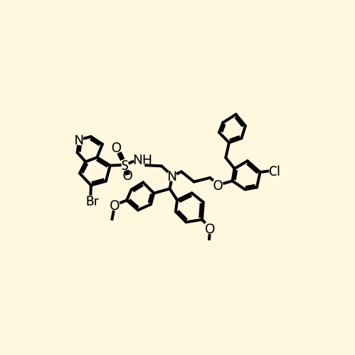 COc1ccc(C(c2ccc(OC)cc2)N(CCCOc2ccc(Cl)cc2Cc2ccccc2)CCNS(=O)(=O)c2cc(Br)cc3cnccc23)cc1